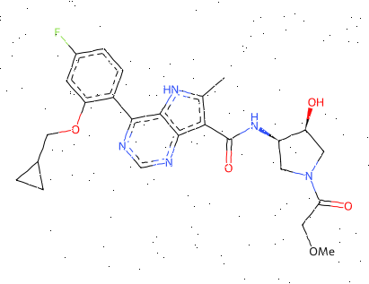 COCC(=O)N1C[C@H](O)[C@H](NC(=O)c2c(C)[nH]c3c(-c4ccc(F)cc4OCC4CC4)ncnc23)C1